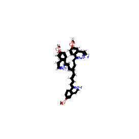 COc1ccc2c(c1)CCNC2CCCCC(CCC1NCCc2cc(OC)ccc21)CCC1NCCc2cc(OC)ccc21